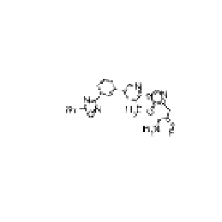 Cc1cc(-c2cccc(-c3noc(C(C)C)n3)c2)cnc1-n1cnn(C/C(=C/F)CN)c1=O